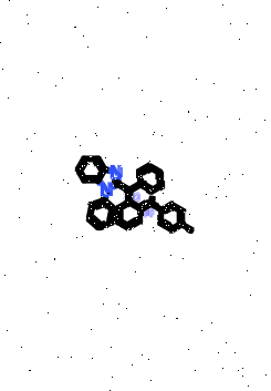 C/C(c1ccc(C)cc1)=c1/cccc/c1=C(/c1ccccc1)c1nc2ccccc2n1-c1ccccc1